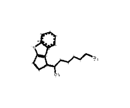 CCCCCCC(C)C1CCC2=C1c1ccccc1[N]2